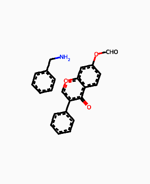 NCc1ccccc1.O=COc1ccc2c(=O)c(-c3ccccc3)coc2c1